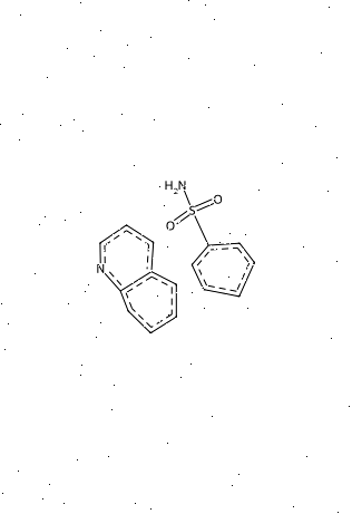 NS(=O)(=O)c1ccccc1.c1ccc2ncccc2c1